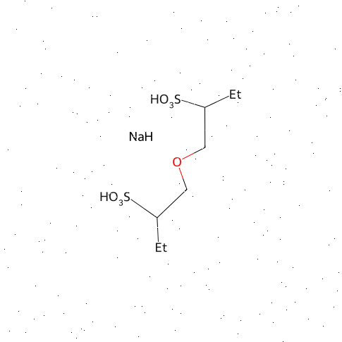 CCC(COCC(CC)S(=O)(=O)O)S(=O)(=O)O.[NaH]